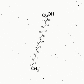 CCCCCCC=CCCCCCCCCCC=CC(=O)O